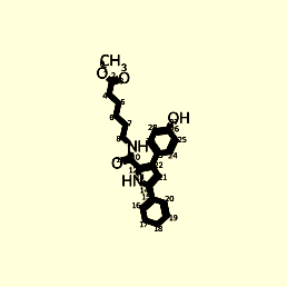 COC(=O)CCCCCNC(=O)c1[nH]c(C2=CCCC=C2)cc1-c1ccc(O)cc1